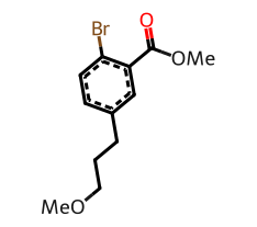 COCCCc1ccc(Br)c(C(=O)OC)c1